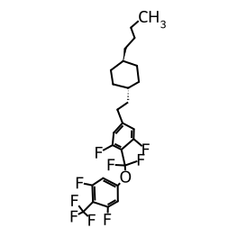 CCCC[C@H]1CC[C@H](CCc2cc(F)c(C(F)(F)Oc3cc(F)c(C(F)(F)F)c(F)c3)c(F)c2)CC1